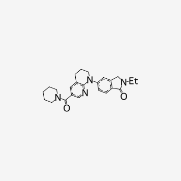 CCN1Cc2cc(N3CCCc4cc(C(=O)N5CCCCC5)cnc43)ccc2C1=O